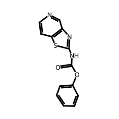 O=C(Nc1nc2cnccc2s1)Oc1ccccc1